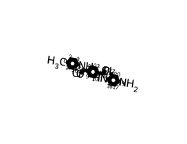 Cc1ccc(NC(=O)c2ccc(C(=O)Nc3ccc(N)cc3Cl)cc2)c(Cl)c1